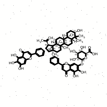 C=C(C)[C@@H]1CC[C@]2(C)CC[C@]3(C)[C@H](CC[C@@H]4[C@@]5(C)CC[C@H](O)C(C)(C)[C@@H]5CC[C@]43C)[C@@H]12.O=C(O)[C@H]1O[C@H](Oc2cc3oc(-c4ccccc4)cc(=O)c3c(O)c2O)[C@H](O)[C@@H](O)[C@@H]1O.O=c1cc(-c2ccccc2)oc2cc(O)c(O)c(O)c12